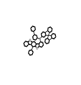 c1ccc(-c2cccc(N(c3ccc4c(c3)C3(c5ccccc5-c5ccccc53)c3ccccc3-4)c3cccc4oc5c(-c6ccccc6)c6c(cc5c34)oc3ccccc36)c2)cc1